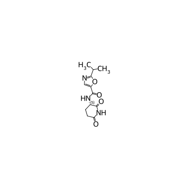 CC(C)c1ncc(C(=O)N[C@H]2CCC(=O)NC2=O)o1